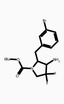 CC(C)(C)OC(=O)N1CC(F)(F)C(N)C1Cc1cccc(Br)c1